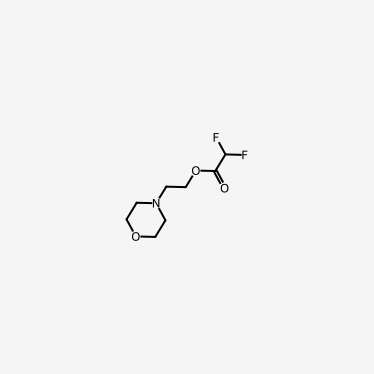 O=C(OCCN1CCOCC1)C(F)F